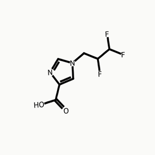 O=C(O)c1cn(CC(F)C(F)F)cn1